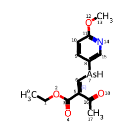 CCOC(=O)/C(=C/[AsH]c1ccc(OC)nc1)C(C)=O